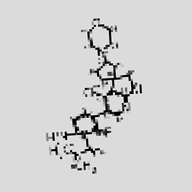 CN(C)C(=O)c1c(N)ccc(-c2cnc3c(c2Cl)C2(CCC(N4CCOCC4)C2)CN3)c1F